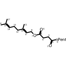 CCCCCC(=O)CCC(=O)OC/C=C(\C)CCC=C(C)C